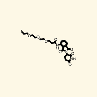 O=C1CCC(N2C(=O)c3cccc(NC(=O)CCOCCOCCOCCI)c3C2=O)C(=O)N1